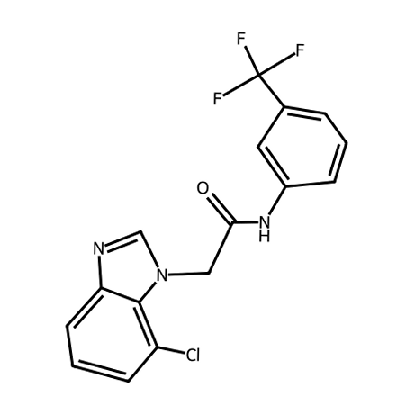 O=C(Cn1cnc2cccc(Cl)c21)Nc1cccc(C(F)(F)F)c1